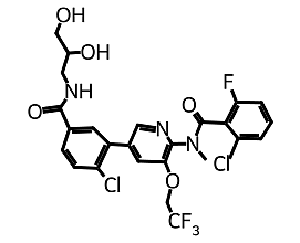 CN(C(=O)c1c(F)cccc1Cl)c1ncc(-c2cc(C(=O)NCC(O)CO)ccc2Cl)cc1OCC(F)(F)F